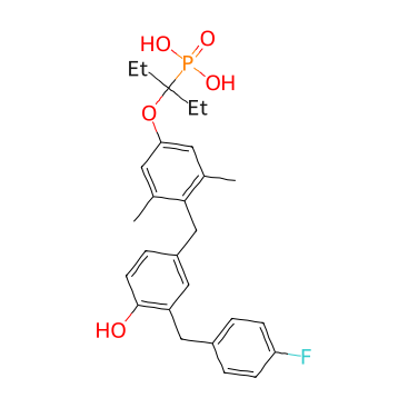 CCC(CC)(Oc1cc(C)c(Cc2ccc(O)c(Cc3ccc(F)cc3)c2)c(C)c1)P(=O)(O)O